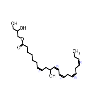 CC/C=C\C/C=C\C/C=C\C=C/C(O)C/C=C\CCCCCC(=O)OCC(O)CO